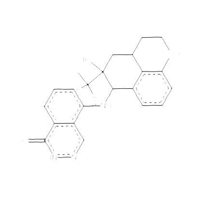 O=c1[nH]ncc2c(NC3c4cccc5c4C(CCO5)CC3(O)C(F)(F)F)cccc12